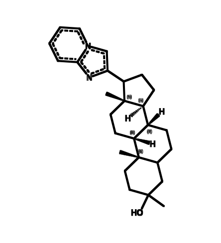 CC1(O)CC[C@@]2(C)C(CC[C@@H]3[C@H]2CC[C@]2(C)C(c4cn5ccccc5n4)CC[C@@H]32)C1